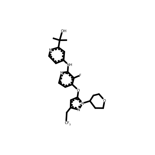 CC(C)(O)c1cc(Nc2nccc(Oc3cc(CC(F)(F)F)nn3C3CCOCC3)c2F)ccn1